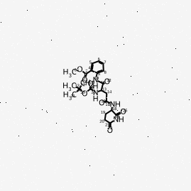 COC(=O)c1ccccc1NC(=O)C(CC(=O)NC1CCC(=O)NC1=O)NC(=O)OC(C)(C)C